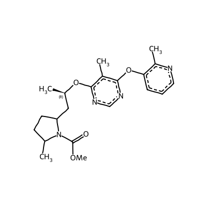 COC(=O)N1C(C)CCC1C[C@@H](C)Oc1ncnc(Oc2cccnc2C)c1C